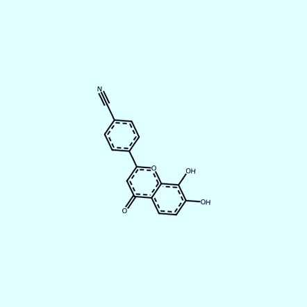 N#Cc1ccc(-c2cc(=O)c3ccc(O)c(O)c3o2)cc1